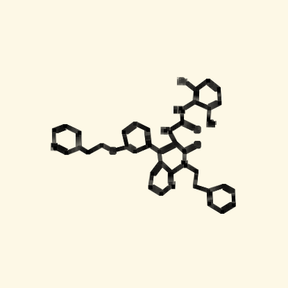 CC(C)c1cccc(C(C)C)c1NC(=O)Nc1c(-c2cccc(OCCc3cccnc3)c2)c2cccnc2n(CCc2ccccc2)c1=O